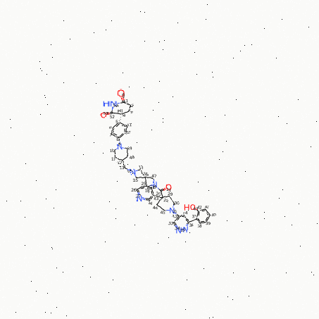 O=C1CC[C@H](c2ccc(N3CCC(CN4CC5(C4)CN(C(=O)C4(c6cccnc6)CCN(c6cnnc(-c7ccccc7O)c6)CC4)C5)CC3)cc2)C(=O)N1